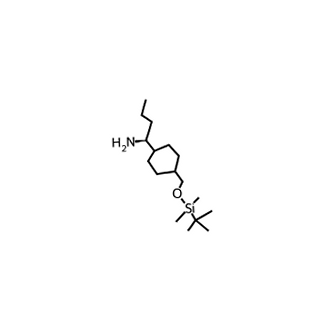 CCC[C@H](N)C1CCC(CO[Si](C)(C)C(C)(C)C)CC1